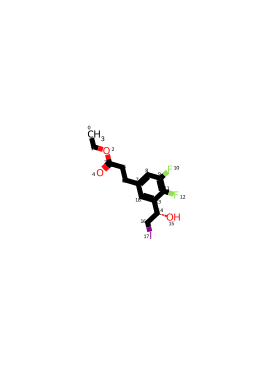 CCOC(=O)CCc1cc(F)c(F)c([C@H](O)CI)c1